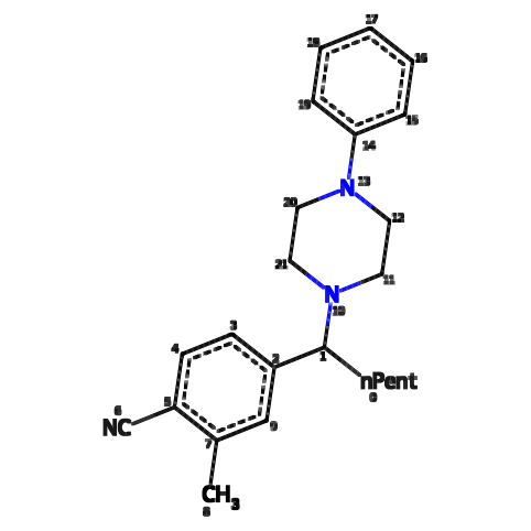 CCCCCC(c1ccc(C#N)c(C)c1)N1CCN(c2ccccc2)CC1